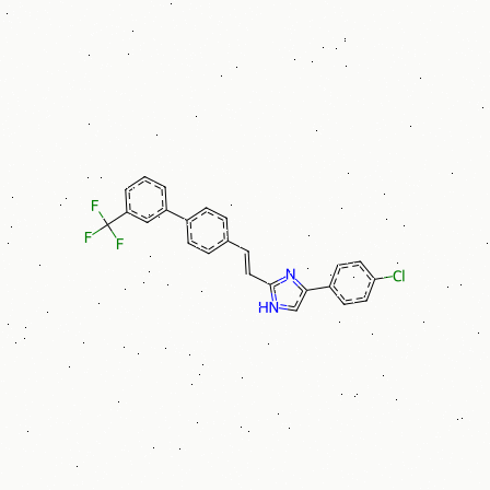 FC(F)(F)c1cccc(-c2ccc(C=Cc3nc(-c4ccc(Cl)cc4)c[nH]3)cc2)c1